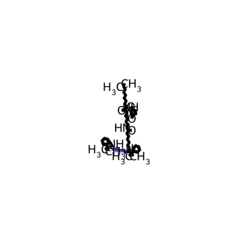 CC(C)CCCCCCNC(=O)C(CCCCNC(=O)CCCCC[N+]1=C(/C=C/C=C/C=C2\Nc3ccccc3C2(C)C)C(C)(C)c2ccccc21)N1C(=O)C=CC1=O